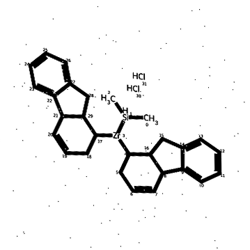 C[SiH](C)[Zr]([CH]1CC=CC2c3ccccc3CC21)[CH]1CC=CC2c3ccccc3CC21.Cl.Cl